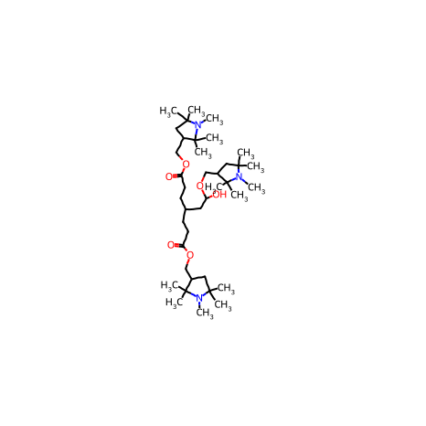 CN1C(C)(C)CC(COC(=O)CCC(CCC(=O)OCC2CC(C)(C)N(C)C2(C)C)CC(O)OCC2CC(C)(C)N(C)C2(C)C)C1(C)C